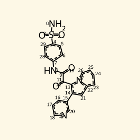 NS(=O)(=O)c1ccc(NC(=O)C(=O)c2c(-c3cccnc3)cc3ccccn23)cc1